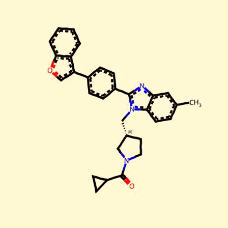 Cc1ccc2c(c1)nc(-c1ccc(-c3coc4ccccc34)cc1)n2C[C@@H]1CCN(C(=O)C2CC2)C1